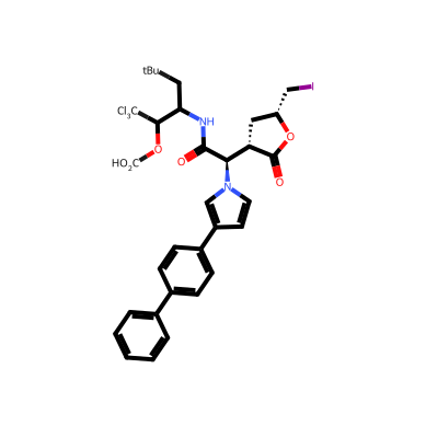 CC(C)(C)CC(NC(=O)[C@@H]([C@@H]1C[C@H](CI)OC1=O)n1ccc(-c2ccc(-c3ccccc3)cc2)c1)C(OC(=O)O)C(Cl)(Cl)Cl